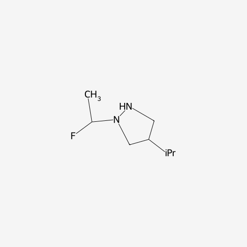 CC(C)C1CNN(C(C)F)C1